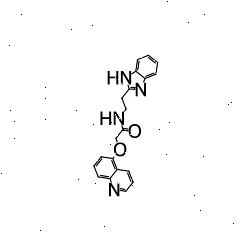 O=C(COc1cccc2ncccc12)NCCc1nc2ccccc2[nH]1